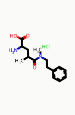 CC(CC(N)C(=O)O)C(=O)N(C)CCc1ccccc1.Cl